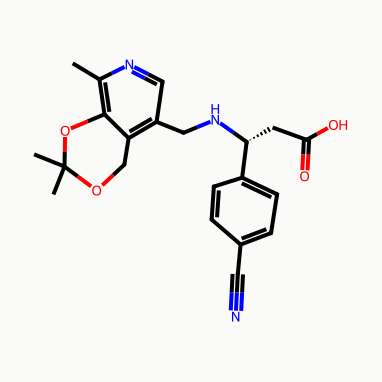 Cc1ncc(CN[C@H](CC(=O)O)c2ccc(C#N)cc2)c2c1OC(C)(C)OC2